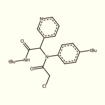 CC(C)(C)NC(=O)C(c1cccnc1)N(C(=O)CCl)c1ccc(C(C)(C)C)cc1